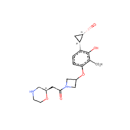 O=B[C@H]1C[C@H]1c1ccc(OC2CN(C(=O)C[C@@H]3CNCCO3)C2)c(C(=O)O)c1O